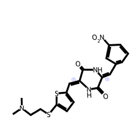 CN(C)CCSc1ccc(/C=c2\[nH]c(=O)/c(=C/c3cccc([N+](=O)[O-])c3)[nH]c2=O)s1